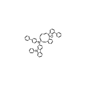 C1=C\C=C(N(c2ccc(-c3ccccc3)cc2)c2ccc3c4ccccc4n(-c4ccccc4)c3c2)/C=C\c2ccccc2-c2oc3c(-c4ccccc4)cccc3c2/C=C/1